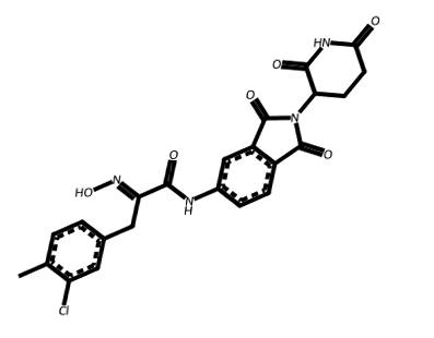 Cc1ccc(C/C(=N\O)C(=O)Nc2ccc3c(c2)C(=O)N(C2CCC(=O)NC2=O)C3=O)cc1Cl